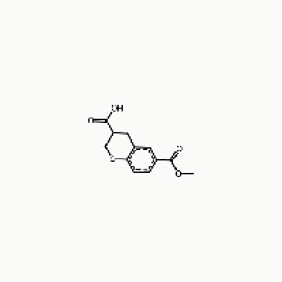 COC(=O)c1ccc2c(c1)CC(C(=O)O)CO2